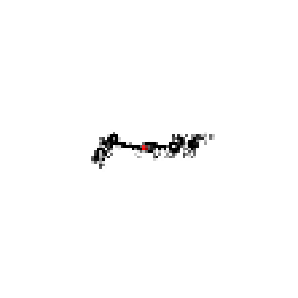 COc1cc(Nc2c(C#N)cnc3cc(OCCCN4CCN(C(=O)CCCCCOc5cccc6c5CN(C5CCC(=O)NC5=O)C6=O)CC4)c(OC)cc23)c(Cl)cc1Cl